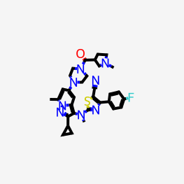 Cc1cc(N2CCN(C(=O)C3CCN(C)C3)CC2)cc2c(N(C)c3nc(-c4ccc(F)cc4)c(C#N)s3)c(C3CC3)nn12